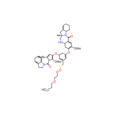 CNC1=CC(OC2C=C(CSOOCCOCCC(=O)O)C=C(OC3=C(OC)C=C4C(=O)N5C6CCCC=C6C[C@H]5CNC4C3)C2)=C(OC)C1C(=O)N1CCC2=CCCC=C21